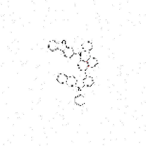 c1ccc(-c2ccccc2N(c2ccc(-c3cccc4c3c3cc5ccccc5cc3n4-c3ccccc3)cc2)c2ccc3c(c2)oc2ccccc23)cc1